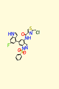 O=C(Nc1cc(-c2cc(F)cc3[nH]ccc23)cc2c1cnn2S(=O)(=O)c1ccccc1)c1csc(CCl)n1